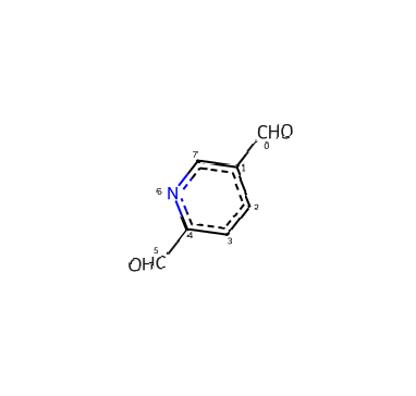 O=Cc1ccc(C=O)nc1